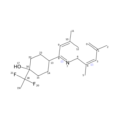 C=C(C)/C=C(/C)C/N=C(\C=C(C)C)C1CCC(O)(C(C)(F)F)CC1